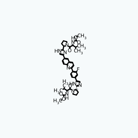 COC(=O)N[C@H](C(=O)N1CCCC1c1nc(-c2ccc3nc(-c4ccc(-c5cnc([C@@H]6CCCN6C(=O)[C@@H](NC(=O)OC)C(C)C)[nH]5)cc4F)ccc3c2)c[nH]1)C(C)C